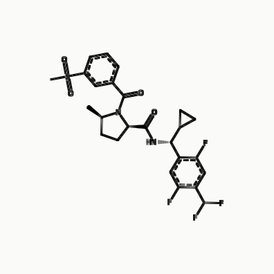 C[C@@H]1CC[C@H](C(=O)N[C@@H](c2cc(F)c(C(F)F)cc2F)C2CC2)N1C(=O)c1cccc(S(C)(=O)=O)c1